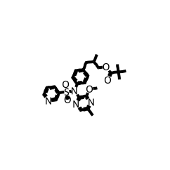 COc1nc(C)cnc1N(c1ccc(CC(C)COC(=O)C(C)(C)C)cc1)S(=O)(=O)c1cccnc1